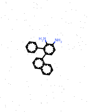 Nc1ccc(-c2cccc3ccccc23)c(-c2ccccc2)c1N